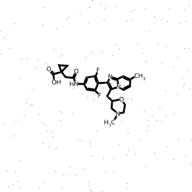 Cc1ccn2c(CC3CN(C)CCO3)c(-c3c(F)cc(NC(=O)CC4(C(=O)O)CC4)cc3F)nc2c1